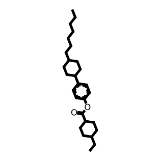 CCCCCCCC1CCC(c2ccc(OC(=O)C3CCC(CC)CC3)cc2)CC1